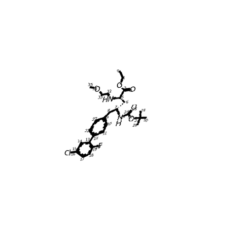 CCOC(=O)[C@@H](C[C@@H](Cc1ccc(-c2cc(Cl)ccc2F)cc1)NC(=O)OC(C)(C)C)NCCOC